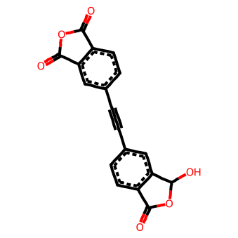 O=C1OC(=O)c2cc(C#Cc3ccc4c(c3)C(O)OC4=O)ccc21